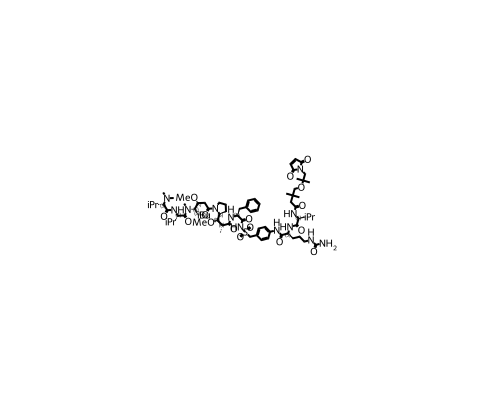 CC[C@H](C)[C@@H]([C@@H](CC(=O)N1CCC[C@H]1[C@H](OC)[C@@H](C)C(=O)N[C@@H](Cc1ccccc1)C(=O)NS(=O)(=O)Cc1ccc(NC(=O)[C@H](CCCNC(N)=O)NC(=O)[C@@H](NC(=O)CC(C)(C)COC(C)(C)CN2C(=O)C=CC2=O)C(C)C)cc1)OC)N(C)C(=O)[C@@H](NC(=O)[C@H](C(C)C)N(C)C)C(C)C